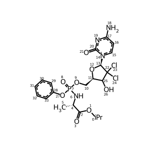 CC(C)OC(=O)[C@H](C)NP(=O)(OC[C@H]1O[C@@H](n2ccc(N)nc2=O)C(Cl)(Cl)C1O)Oc1ccccc1